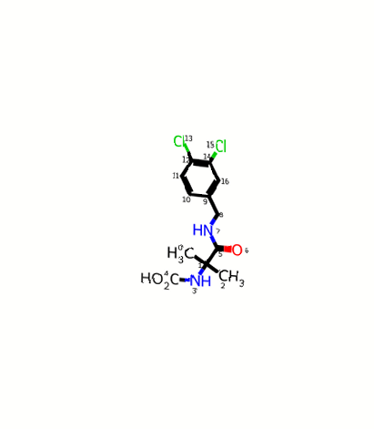 CC(C)(NC(=O)O)C(=O)NCc1ccc(Cl)c(Cl)c1